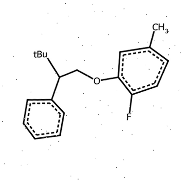 Cc1ccc(F)c(OCC(c2ccccc2)C(C)(C)C)c1